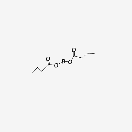 CCCC(=O)O[B]OC(=O)CCC